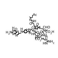 CC(=O)CC/C(C)=N\NC(=O)CCN1C(=O)CC(SC[C@@H](C=O)NC(=O)[C@H](CC(=O)O)NC(=O)[C@H](CCCNC(=N)N)NC(=O)[C@H](CC(=O)O)NC(=O)CC[C@H](NC(=O)c2ccc(NCc3cnc4nc(N)[nH]c(=O)c4n3)cc2)C(=O)O)C1=O